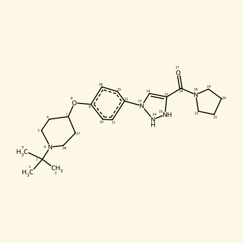 CC(C)(C)N1CCC(Oc2ccc(N3C=C(C(=O)N4CCCC4)NN3)cc2)CC1